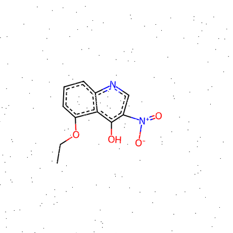 CCOc1cccc2ncc([N+](=O)[O-])c(O)c12